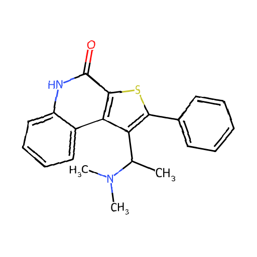 CC(c1c(-c2ccccc2)sc2c(=O)[nH]c3ccccc3c12)N(C)C